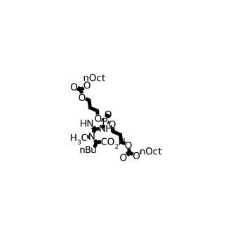 CCCCCCCCOC(=O)OCCCOP(=O)(NC(=N)N(C)C(CCCC)C(=O)O)OCCCOC(=O)OCCCCCCCC